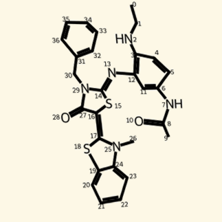 CCNc1ccc(NC(C)=O)cc1N=C1SC(=C2Sc3ccccc3N2C)C(=O)N1Cc1ccccc1